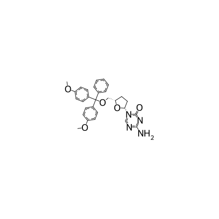 COc1ccc(C(OC[C@@H]2CC[C@H](n3cnc(N)nc3=O)O2)(c2ccccc2)c2ccc(OC)cc2)cc1